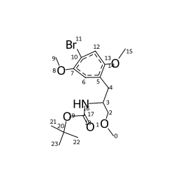 COCC(Cc1cc(OC)c(Br)cc1OC)NC(=O)OC(C)(C)C